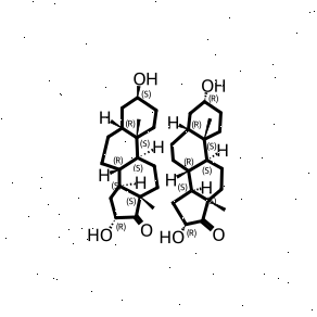 C[C@]12CC[C@@H](O)C[C@H]1CC[C@@H]1[C@@H]2CC[C@]2(C)C(=O)[C@H](O)C[C@@H]12.C[C@]12CC[C@H](O)C[C@H]1CC[C@@H]1[C@@H]2CC[C@]2(C)C(=O)[C@H](O)C[C@@H]12